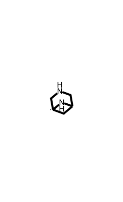 C1NCC2C[C]1N2